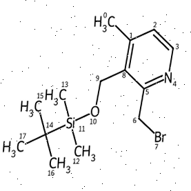 Cc1ccnc(CBr)c1CO[Si](C)(C)C(C)(C)C